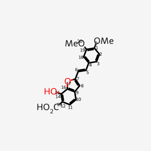 COc1ccc(/C=C/c2cc3ccc(C(=O)O)c(O)c3o2)cc1OC